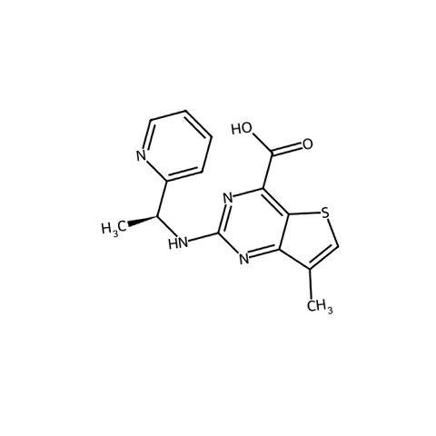 Cc1csc2c(C(=O)O)nc(N[C@@H](C)c3ccccn3)nc12